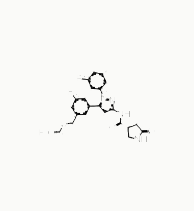 O=C1C[C@H](C(=O)Nc2cc(-c3cc(F)cc(COCC(F)(F)F)c3)n(-c3cccc(F)c3)n2)CN1